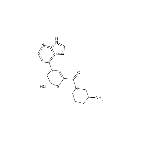 Cl.N[C@H]1CCCN(C(=O)C2=CN(c3ccnc4[nH]ccc34)CCS2)C1